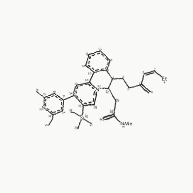 C=C(/C=C\CC)CCC1c2ccccc2-c2cc(-c3cc(C)nc(C)c3)c([Si](C)(C)C)c[n+]2C1CC(=C)NC